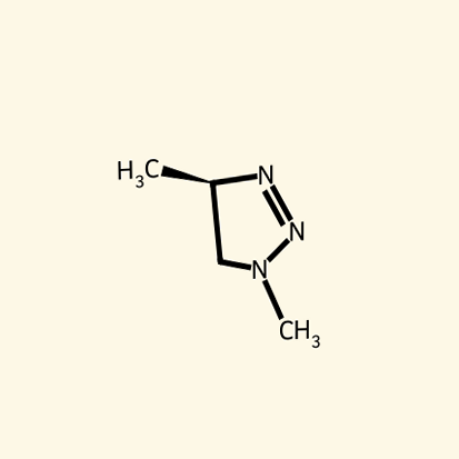 C[C@@H]1CN(C)N=N1